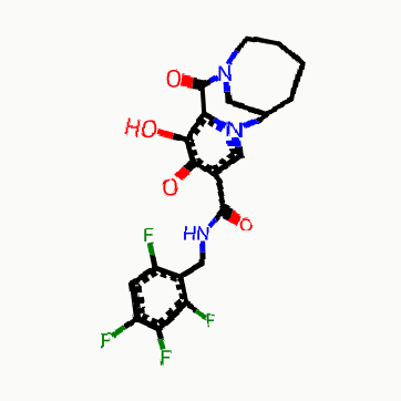 O=C(NCc1c(F)cc(F)c(F)c1F)c1cn2c(c(O)c1=O)C(=O)N1CCCCC2C1